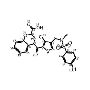 CN(Cc1csc(C(=O)C2NC(C(=O)O)Oc3ccccc32)c1Cl)S(=O)(=O)c1ccc(Cl)cc1